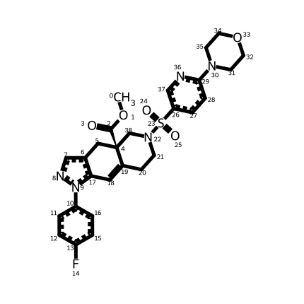 COC(=O)[C@]12Cc3cnn(-c4ccc(F)cc4)c3C=C1CCN(S(=O)(=O)c1ccc(N3CCOCC3)nc1)C2